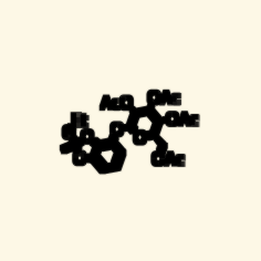 CCOC1(C)Oc2cccc(O[C@@H]3O[C@H](COC(C)=O)[C@H](OC(C)=O)[C@H](OC(C)=O)[C@H]3OC(C)=O)c2O1